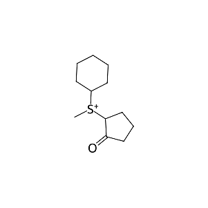 C[S+](C1CCCCC1)C1CCCC1=O